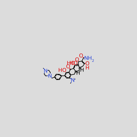 CN1CCN(Cc2ccc(-c3cc(N(C)C)c4c(c3O)C(=O)C3=C(O)[C@]5(O)C(=O)C(C(N)=O)=C(O)C[C@@H]5C[C@@H]3C4)cc2)CC1